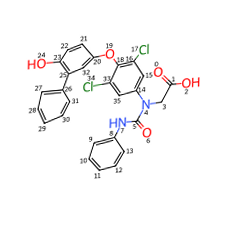 O=C(O)CN(C(=O)Nc1ccccc1)c1cc(Cl)c(Oc2ccc(O)c(-c3ccccc3)c2)c(Cl)c1